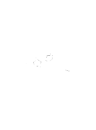 FC(F)=C(F)CCSc1ncc(-c2noc(C(F)(F)F)n2)s1